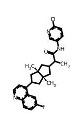 CC(C(=O)Nc1ccc(Cl)nc1)C1C[C@]2(C)CC(c3ccnc4ccc(F)cc34)C[C@]2(C)C1